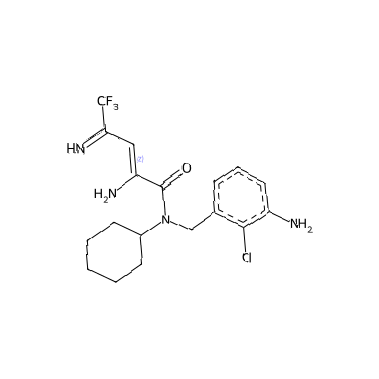 N=C(/C=C(\N)C(=O)N(Cc1cccc(N)c1Cl)C1CCCCC1)C(F)(F)F